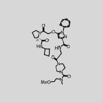 COCCN(C)C(=O)N1CCN(C(=O)CNC(=O)c2cc(OCC(=O)N3CCC[C@H]3C(=O)NC3CCC3)n(-c3ccccc3)n2)CC1